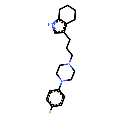 Fc1ccc(N2CCN(CCCc3c[nH]c4c3CCCC4)CC2)cc1